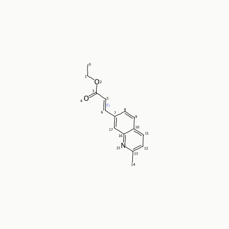 CCOC(=O)/C=C/c1ccc2ccc(C)nc2c1